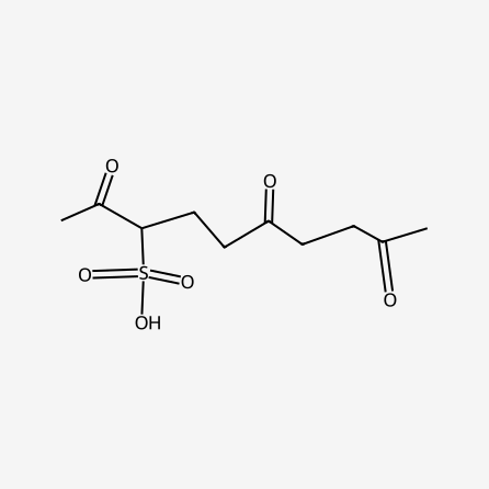 CC(=O)CCC(=O)CCC(C(C)=O)S(=O)(=O)O